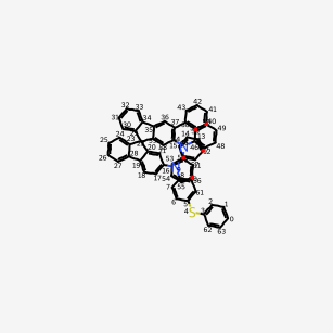 c1ccc(Sc2ccc(N(c3ccccc3)c3ccc4c(c3)C3(c5ccccc5-4)c4ccccc4-c4cc(-c5ccccc5)c(N(c5ccccc5)c5ccccc5)cc43)cc2)cc1